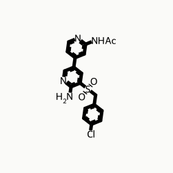 CC(=O)Nc1cc(-c2cnc(N)c(S(=O)(=O)Cc3ccc(Cl)cc3)c2)ccn1